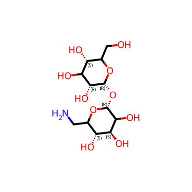 NCC1O[C@H](O[C@H]2OC(CO)[C@@H](O)C(O)[C@H]2O)C(O)[C@@H](O)[C@@H]1O